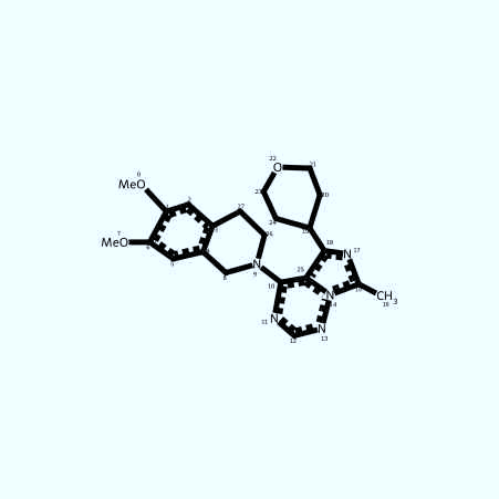 COc1cc2c(cc1OC)CN(c1ncnn3c(C)nc(C4CCOCC4)c13)CC2